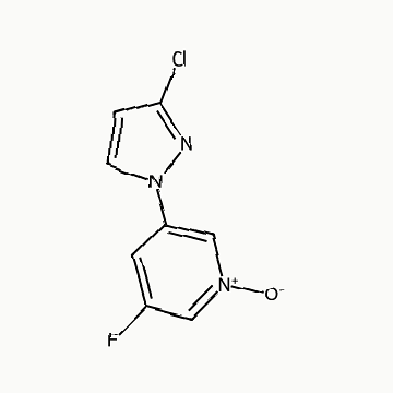 [O-][n+]1cc(F)cc(-n2ccc(Cl)n2)c1